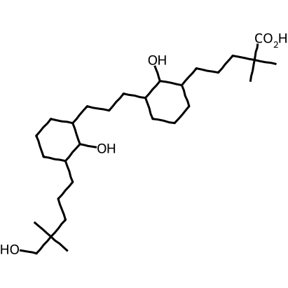 CC(C)(CO)CCCC1CCCC(CCCC2CCCC(CCCC(C)(C)C(=O)O)C2O)C1O